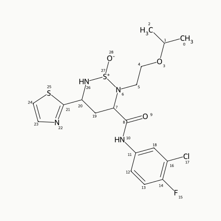 CC(C)OCCN1C(C(=O)Nc2ccc(F)c(Cl)c2)CC(c2nccs2)N[S+]1[O-]